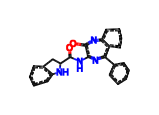 O=C(Nc1nc(-c2ccccc2)c2ccccc2nc1=O)C1Cc2ccccc2N1